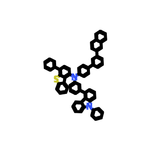 c1ccc(-c2ccc(N(c3ccc(-c4cccc(-c5ccc6ccccc6c5)c4)cc3)c3cccc(-c4cccc5c4c4ccccc4n5-c4ccccc4)c3)c3c2sc2ccccc23)cc1